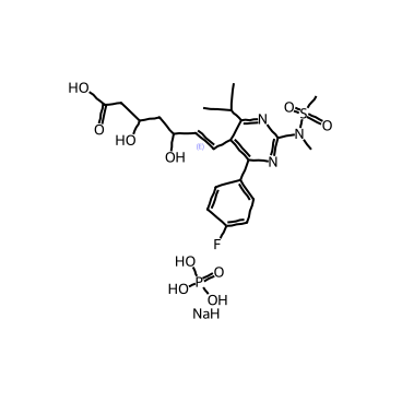 CC(C)c1nc(N(C)S(C)(=O)=O)nc(-c2ccc(F)cc2)c1/C=C/C(O)CC(O)CC(=O)O.O=P(O)(O)O.[NaH]